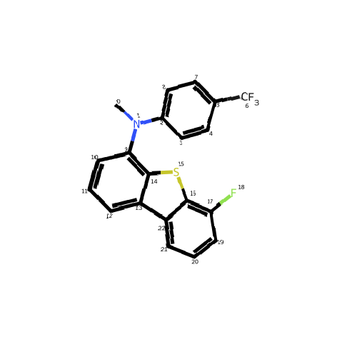 CN(c1ccc(C(F)(F)F)cc1)c1cccc2c1sc1c(F)cccc12